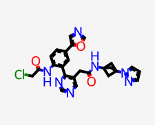 O=C(CCl)Nc1ccc(-c2cnco2)cc1-c1ncncc1CC(=O)NC12CC(n3cccn3)(C1)C2